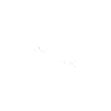 Cc1ccc(OCCOCCOCCOCCOCCOc2ccc(-c3ccc4c5cnccc5n(C)c4c3)c(C(F)(F)F)n2)cc1C(=O)N(C=O)C1CCC(=O)NC1=O